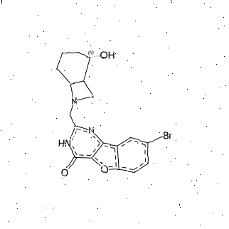 O=c1[nH]c(CN2CC3C2CCC[C@@H]3O)nc2c1oc1ccc(Br)cc12